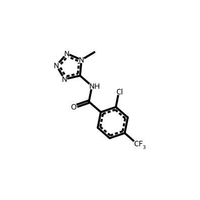 Cn1nnnc1NC(=O)c1ccc(C(F)(F)F)cc1Cl